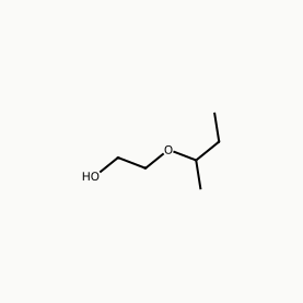 CCC(C)OCCO